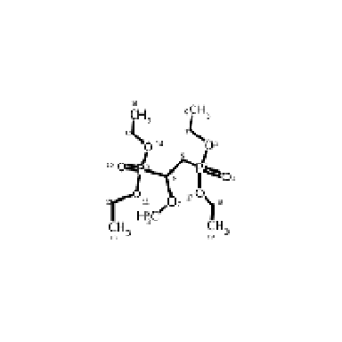 CCOP(=O)(CC(OC)P(=O)(OCC)OCC)OCC